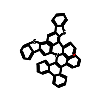 c1ccc(-c2c(N(c3ccc4sc5ccccc5c4c3)c3ccccc3-c3cccc4c3sc3ccccc34)c3ccccc3c3ccccc23)cc1